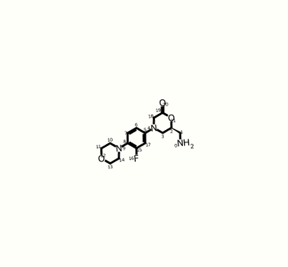 NC[C@H]1CN(c2ccc(N3CCOCC3)c(F)c2)CC(=O)O1